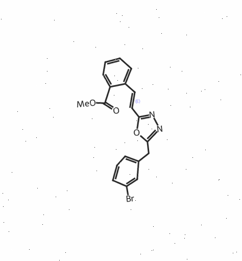 COC(=O)c1ccccc1/C=C/c1nnc(Cc2cccc(Br)c2)o1